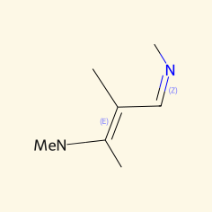 C/N=C\C(C)=C(/C)NC